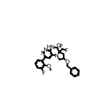 COc1c(F)cccc1-c1cc2c(nn1)NC(=O)C1(C(F)F)CC(OCc3ccccc3)CN21